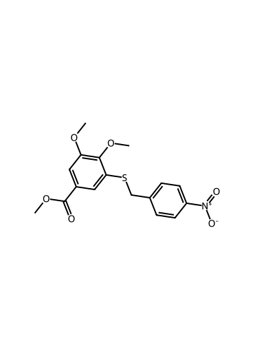 COC(=O)c1cc(OC)c(OC)c(SCc2ccc([N+](=O)[O-])cc2)c1